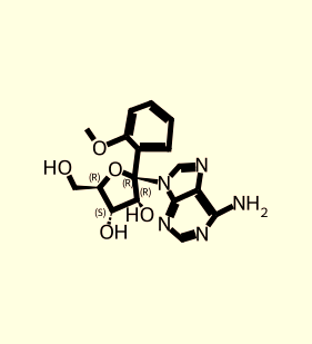 COc1ccccc1[C@@]1(n2cnc3c(N)ncnc32)O[C@H](CO)[C@@H](O)[C@H]1O